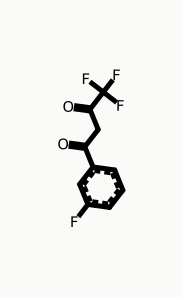 O=C(CC(=O)C(F)(F)F)c1cccc(F)c1